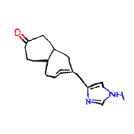 O=C1CC2C=C(c3c[nH]cn3)CC2C1